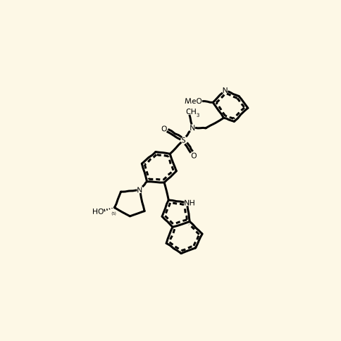 COc1ncccc1CN(C)S(=O)(=O)c1ccc(N2CC[C@H](O)C2)c(-c2cc3ccccc3[nH]2)c1